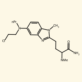 CCCN(CCCl)c1ccc2c(c1)nc(CCC(NC)C(N)=O)n2C